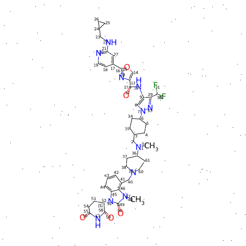 CN(CC1CCC(n2cc(NC(=O)c3coc(-c4ccnc(NCC5CC5)c4)n3)c(C(F)F)n2)CC1)C1CCN(Cc2cccc3c2n(C)c(=O)n3[C@H]2CCC(=O)NC2=O)CC1